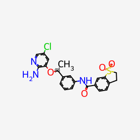 C[C@@H](Oc1cc(Cl)cnc1N)c1cccc(NC(=O)c2ccc3c(c2)S(=O)(=O)CC3)c1